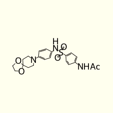 CC(=O)Nc1ccc(S(=O)(=O)Nc2ccc(N3CCC4(CC3)OCCO4)cc2)cc1